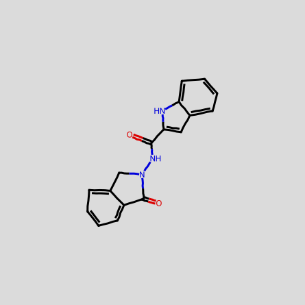 O=C(NN1Cc2ccccc2C1=O)c1cc2ccccc2[nH]1